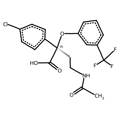 CC(=O)NCC[C@](Oc1cccc(C(F)(F)F)c1)(C(=O)O)c1ccc(Cl)cc1